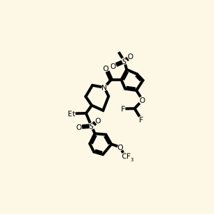 CCC(C1CCN(C(=O)c2cc(OC(F)F)ccc2S(C)(=O)=O)CC1)S(=O)(=O)c1cccc(OC(F)(F)F)c1